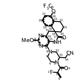 C=C(F)C(=O)N1CCN(c2nc(OC)nc3c2NC(=O)C2(CCCc4c(OC(F)(F)F)cccc42)C3)CC1CC#N